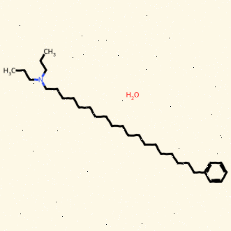 CCCN(CCC)CCCCCCCCCCCCCCCCCCCc1ccccc1.O